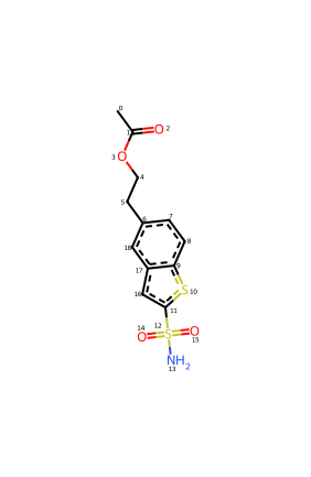 CC(=O)OCCc1ccc2sc(S(N)(=O)=O)cc2c1